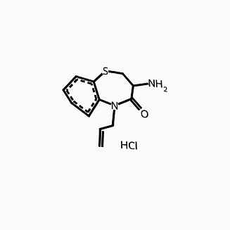 C=CCN1C(=O)C(N)CSc2ccccc21.Cl